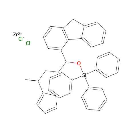 CC(CCC(O[Si](c1ccccc1)(c1ccccc1)c1ccccc1)c1cccc2c1-c1ccccc1C2)C1=CC=CC1.[Cl-].[Cl-].[Zr+2]